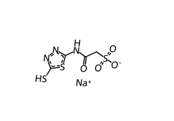 O=C(CS(=O)(=O)[O-])Nc1nnc(S)s1.[Na+]